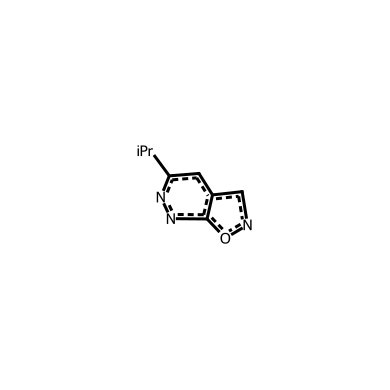 CC(C)c1cc2cnoc2nn1